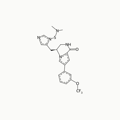 CN(C)Sn1cncc1C[C@H]1CNC(=O)c2cc(-c3cccc(OC(F)(F)F)c3)cn21